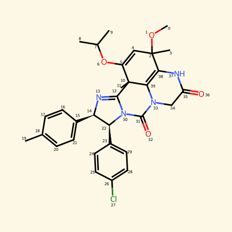 COC1(C)C=C(OC(C)C)C2(C)C3=N[C@H](c4ccc(C)cc4)[C@H](c4ccc(Cl)cc4)N3C(=O)N3CC(=O)NC1=C32